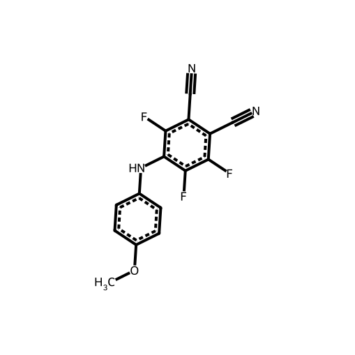 COc1ccc(Nc2c(F)c(F)c(C#N)c(C#N)c2F)cc1